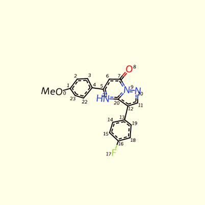 COc1ccc(-c2cc(=O)n3ncc(-c4ccc(F)cc4)c3[nH]2)cc1